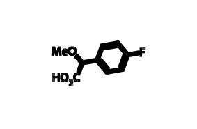 COC(C(=O)O)c1ccc(F)cc1